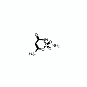 CC1=CC(=O)NS(=O)(=O)O1.N